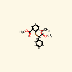 COC(=O)c1ccccc1SC(c1ccccc1)C(OC)OC